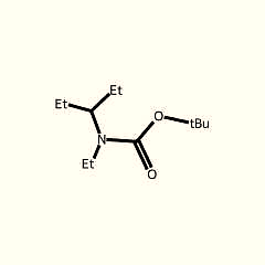 CCC(CC)N(CC)C(=O)OC(C)(C)C